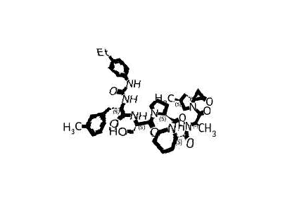 CCc1ccc(NC(=O)N[C@@H](Cc2cccc(C)c2)C(=O)N[C@@H](CO)C(=O)N2CCC[C@H]2C(=O)N2CCCC[C@H]2C(=O)N[C@@H](C)C(=O)N2C[C@@H](C)C[C@@]23CC3=O)cc1